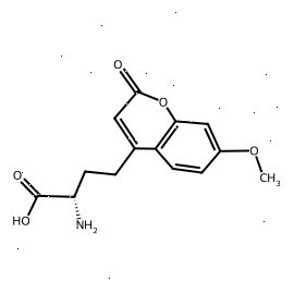 COc1ccc2c(CC[C@H](N)C(=O)O)cc(=O)oc2c1